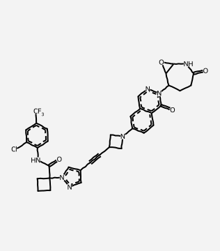 O=C1CCC(n2ncc3cc(N4CC(C#Cc5cnn(C6(C(=O)Nc7ccc(C(F)(F)F)cc7Cl)CCC6)c5)C4)ccc3c2=O)C2OC2N1